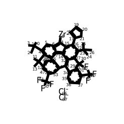 CC(C)(C)c1cc2c(cc1C(C)(C)C)=c1c(c(C3=CC=CC3)c(C(C)(C)C)c(C(C)(C)C)c1=C(c1cccc(C(F)(F)F)c1)c1cccc(C(F)(F)F)c1)[C]=2[Zr+2].[Cl-].[Cl-]